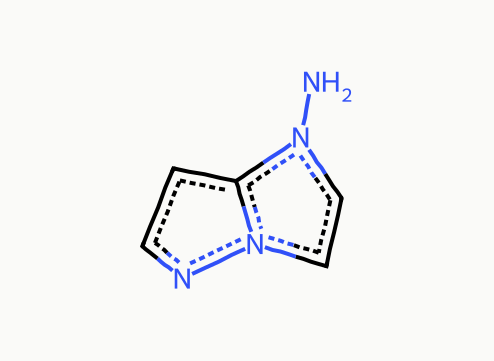 Nn1ccn2nccc12